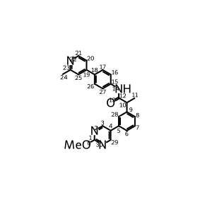 COc1ncc(-c2cccc(C(C)C(=O)Nc3ccc(-c4ccnc(C)c4)cc3)c2)cn1